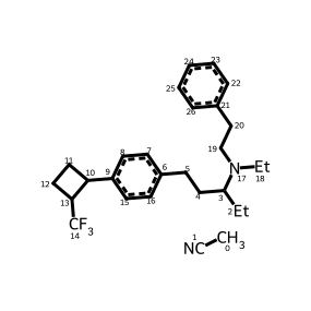 CC#N.CCC(CCc1ccc(C2CCC2C(F)(F)F)cc1)N(CC)CCc1ccccc1